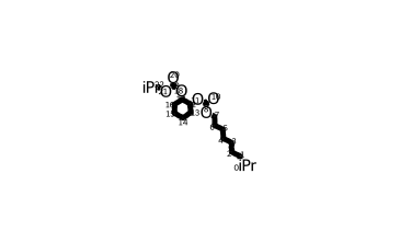 CC(C)CCCCCCCOC(=O)OC1CCCCC1OC(=O)OC(C)C